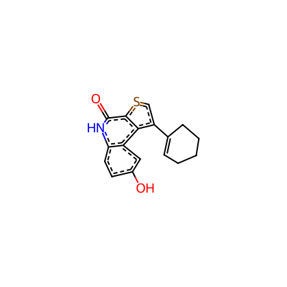 O=c1[nH]c2ccc(O)cc2c2c(C3=CCCCC3)csc12